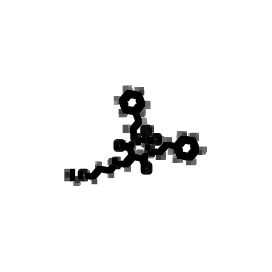 CCCCSC=C1C(=O)N(CCc2ccccc2)S(=O)(=O)N(CCc2ccccc2)C1=O